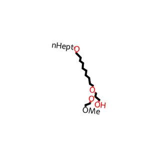 CCCCCCCOCCCCCCCCCCOCC(CO)OCCOC